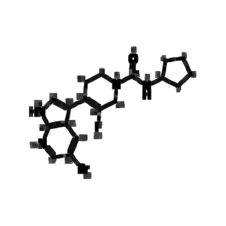 O=C(NC1CCCC1)N1CCC(c2c[nH]c3ncc(Br)cc23)=C(F)C1